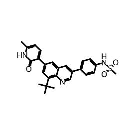 Cc1ccc(-c2cc(C(C)(C)C)c3ncc(-c4ccc(NS(C)(=O)=O)cc4)cc3c2)c(=O)[nH]1